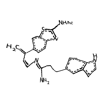 C=C(/C=C\N=C(/N)CCc1ccc2[nH]ccc2c1)c1ccc2nc(NC(C)=O)sc2c1